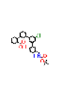 CC(C)(C)OC(=O)NCc1cccc(-c2cc(Cl)cc(-c3cccc(-c4ccccc4C(=O)O)c3)c2)c1